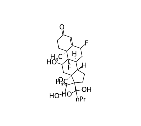 CCCC(O)(O)[C@]1(C(=O)CO)CC[C@H]2[C@@H]3CC(F)C4=CC(=O)CC[C@]4(C)[C@@]3(F)C(O)C[C@@]21C